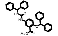 COC(=O)c1cc(NC(=O)NC(c2ccccc2)c2ccccc2)ccc1OC(c1ccccc1)c1ccccc1